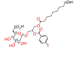 CCCCCCCCCCCCCCCCCC(=O)OCC(CO[C@H]1O[C@H](CS(=O)(=O)O)[C@@H](O)[C@H](O)[C@H]1O)OC(=O)c1ccc(I)cc1